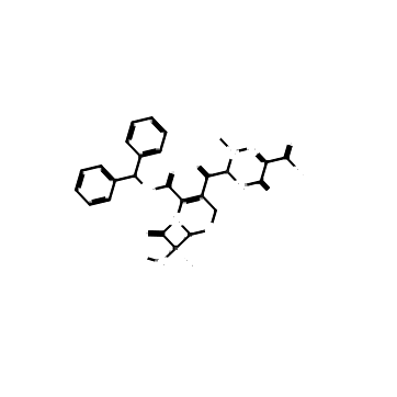 CN1N=C(C(N)=O)C(=O)NC1C(=S)C1=C(C(=O)OC(c2ccccc2)c2ccccc2)N2C(=O)[C@](N)(NC=O)[C@@H]2SC1